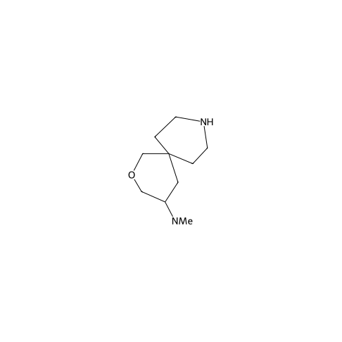 CNC1COCC2(CCNCC2)C1